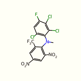 CN(c1c([N+](=O)[O-])cc([N+](=O)[O-])cc1C(F)(F)F)c1c(Cl)cc(F)c(Cl)c1Cl